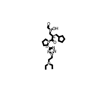 CCN(CC)CCn1nnc([C@@H]2CCCN2C(=O)[C@H](CC2CCCC2)CN(O)C=O)n1